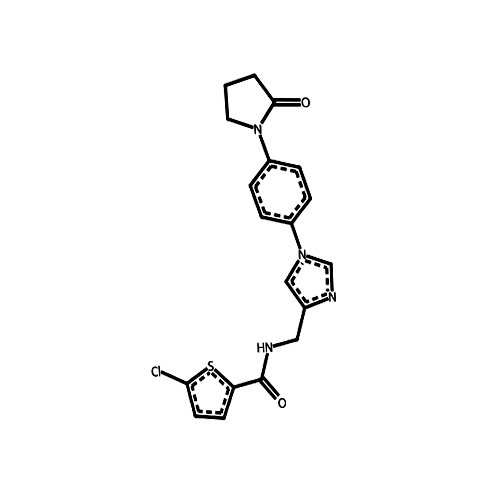 O=C(NCc1cn(-c2ccc(N3CCCC3=O)cc2)cn1)c1ccc(Cl)s1